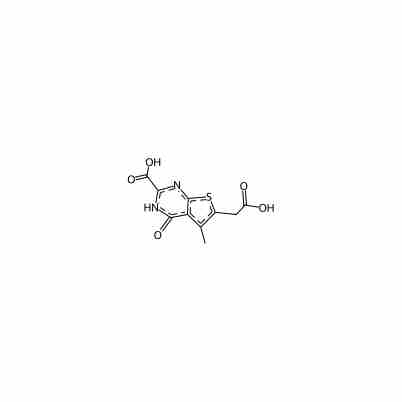 Cc1c(CC(=O)O)sc2nc(C(=O)O)[nH]c(=O)c12